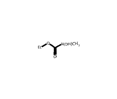 CCOC(=O)N(C)O